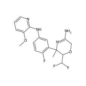 COc1cccnc1Nc1ccc(F)c(C2(C)N=C(N)COC2C(F)F)c1